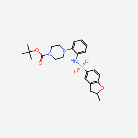 CC1Cc2cc(S(=O)(=O)Nc3ccccc3N3CCN(C(=O)OC(C)(C)C)CC3)ccc2O1